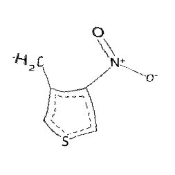 [CH2]c1cscc1[N+](=O)[O-]